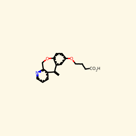 C=C1c2cc(OCCCC(=O)O)ccc2OCc2ncccc21